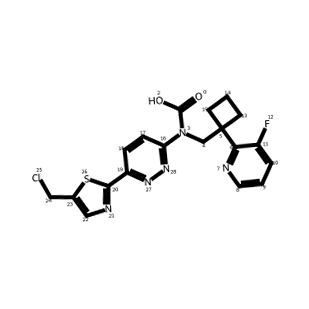 O=C(O)N(CC1(c2ncccc2F)CCC1)c1ccc(-c2ncc(CCl)s2)nn1